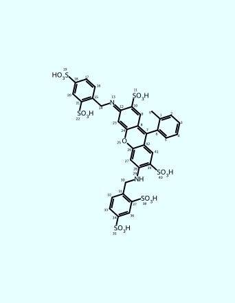 Cc1ccccc1-c1c2cc(S(=O)(=O)O)/c(=N/Cc3ccc(S(=O)(=O)O)cc3S(=O)(=O)O)cc-2oc2cc(NCc3ccc(S(=O)(=O)O)cc3S(=O)(=O)O)c(S(=O)(=O)O)cc12